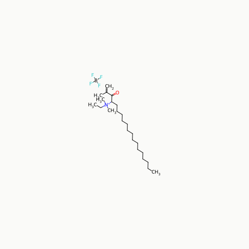 C=C(C)C(=O)C(CCCCCCCCCCCCCCC)[N+](C)(C)CC.F[B-](F)(F)F